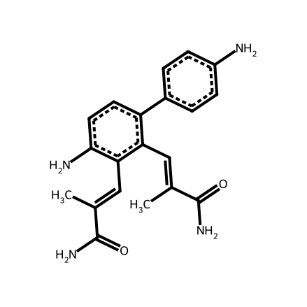 CC(=Cc1c(N)ccc(-c2ccc(N)cc2)c1C=C(C)C(N)=O)C(N)=O